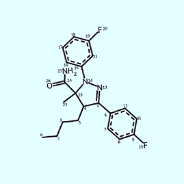 CCCCC1C(c2ccc(F)cc2)=NN(c2cccc(F)c2)C1(C)C(N)=O